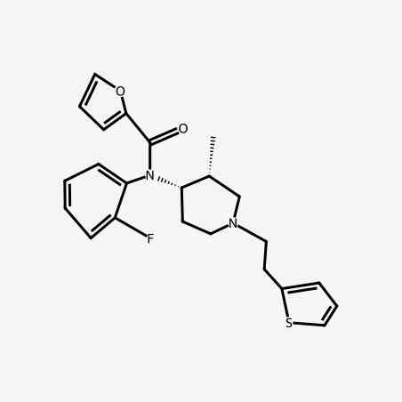 C[C@@H]1CN(CCc2cccs2)CC[C@@H]1N(C(=O)c1ccco1)c1ccccc1F